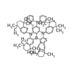 CC1(C)CCC(C)(C)c2cc(N3c4cc5c(cc4B4c6c3cc(N(c3ccccc3)c3ccccc3)cc6N(c3ccc6c(c3)C(C)(C)CCC6(C)C)c3sc6cc7c(cc6c34)C3(C)CCC7(C)CC3)C(C)(C)CCC5(C)C)ccc21